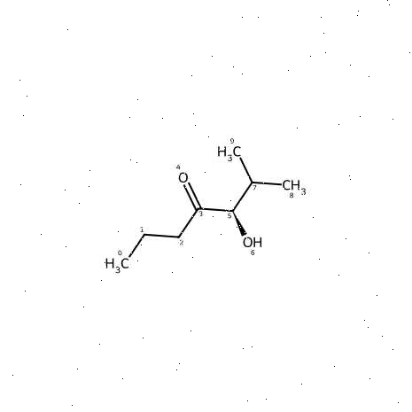 CCCC(=O)[C@H](O)C(C)C